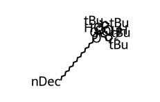 CCCCCCCCCCCCCCCCCCCCCCCCCCCCOC(=O)C(Cc1cc(C(C)(C)C)cc(C(C)(C)C)c1O)(Cc1cc(C(C)(C)C)cc(C(C)(C)C)c1O)C(=O)O